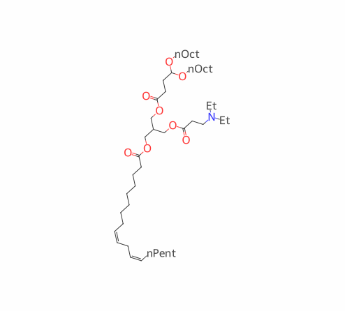 CCCCC/C=C\C/C=C\CCCCCCCC(=O)OCC(COC(=O)CCC(OCCCCCCCC)OCCCCCCCC)COC(=O)CCN(CC)CC